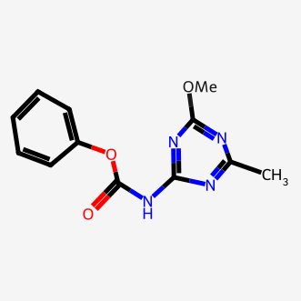 COc1nc(C)nc(NC(=O)Oc2ccccc2)n1